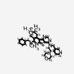 CN(Cc1ccccc1)c1nc2sc3c(N(CCN4CCOCC4)Cc4cccnc4)ncnc3c2c2c1COC(C)(C)C2